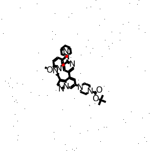 COc1ccc(CN2C3CC2CN(c2ccc(-c4cc(N5CCN(C(=O)OC(C)(C)C)CC5)cn5ncc(C#N)c45)cn2)C3)cn1